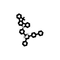 CC1(C)c2ccccc2-c2ccc3c(c21)c1ccccc1n3-c1cccc(-c2nc(-c3ccccc3)cc(-c3ccc(-c4ccccc4)cc3)n2)c1